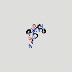 Cc1cccc2nc(NC(=O)c3ccnc(-c4ccccc4)c3)n([C@@H]3CCCCN(C(=O)/C=C/CN(C)C)C3)c12